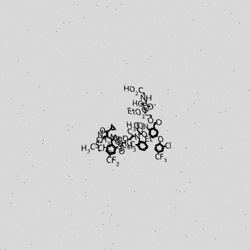 CCOC(=O)COC(=O)c1cc(Oc2ccc(C(F)(F)F)cc2Cl)ccc1[N+](=O)[O-].CCc1cccc(C)c1N(C(=O)CCl)C(C)COC.CS(=O)(=O)c1cc(C(F)(F)F)ccc1C(=O)c1cnoc1C1CC1.C[S+](C)C.O=C(O)CNCP(=O)([O-])O